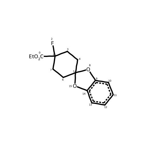 CCOC(=O)C1(F)CCC2(CC1)Oc1ccccc1O2